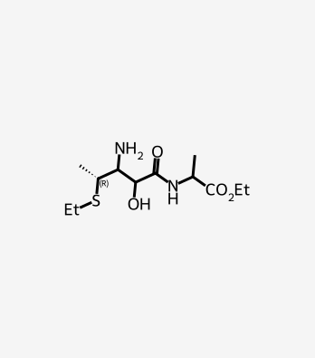 CCOC(=O)C(C)NC(=O)C(O)C(N)[C@@H](C)SCC